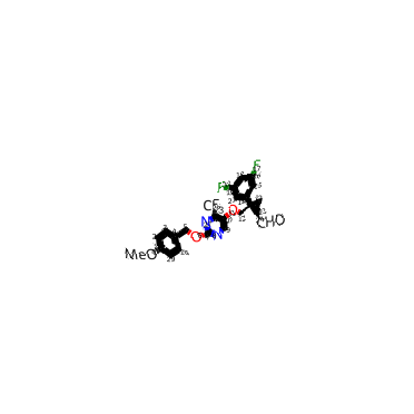 COc1ccc(COc2ncc(OC[C@@]3(c4cc(F)cc(F)c4)C[C@H]3C=O)c(C(F)(F)F)n2)cc1